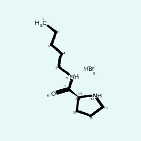 Br.CCCCCNC(=O)[C@@H]1CCCN1